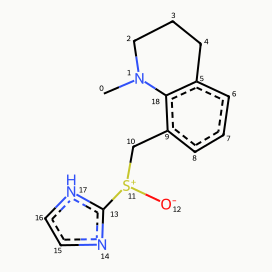 CN1CCCc2cccc(C[S+]([O-])c3ncc[nH]3)c21